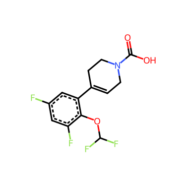 O=C(O)N1CC=C(c2cc(F)cc(F)c2OC(F)F)CC1